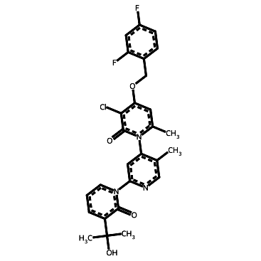 Cc1cnc(-n2cccc(C(C)(C)O)c2=O)cc1-n1c(C)cc(OCc2ccc(F)cc2F)c(Cl)c1=O